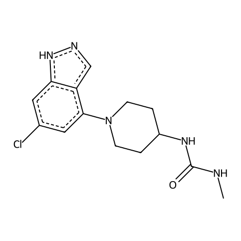 CNC(=O)NC1CCN(c2cc(Cl)cc3[nH]ncc23)CC1